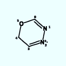 C1=N[N+]=CCO1